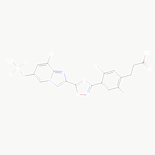 CS(=O)(=O)Nc1cc(Cl)c2nc(-c3nc(-c4cc(F)c(CCC(=O)O)cc4Cl)no3)cn2c1